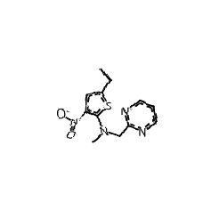 CCc1cc([N+](=O)[O-])c(N(C)Cc2ncccn2)s1